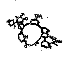 CCn1c(-c2cccnc2[C@H](C)OC)c2c3cc(ccc31)-c1cc(O)cc(c1)C[C@H](NC(=O)C(C(C)C)N(C)C(=O)[C@@]1(F)CCNC1)C(=O)N1CCC[C@H](N1)C(=O)OCC(C)(C)C2